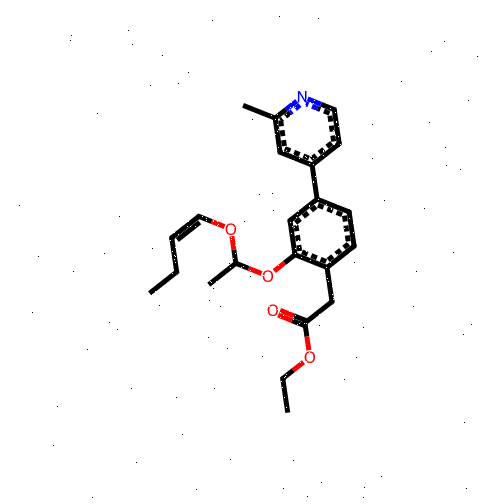 CC/C=C\OC(C)Oc1cc(-c2ccnc(C)c2)ccc1CC(=O)OCC